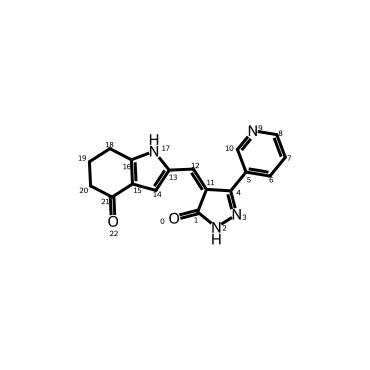 O=C1NN=C(c2cccnc2)C1=Cc1cc2c([nH]1)CCCC2=O